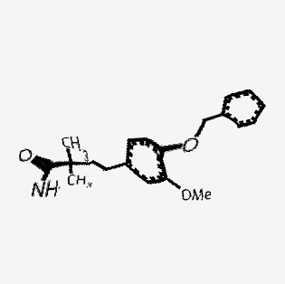 COc1cc(CCC(C)(C)C([NH])=O)ccc1OCc1ccccc1